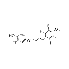 COc1c(F)c(F)c(C=CCCOc2ccc(O)c(Cl)c2)c(F)c1F